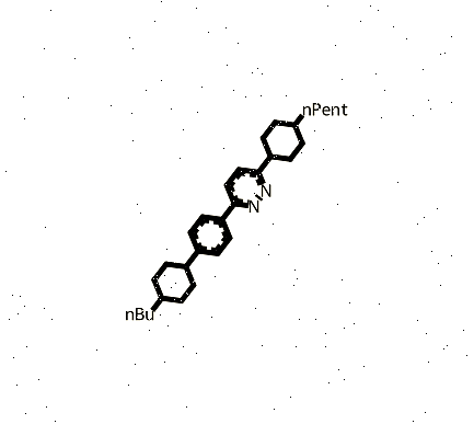 CCCCCC1CCC(c2ccc(-c3ccc(C4CCC(CCCC)CC4)cc3)nn2)CC1